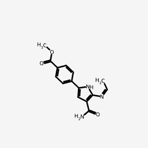 C/C=N\c1[nH]c(-c2ccc(C(=O)OC)cc2)cc1C(N)=O